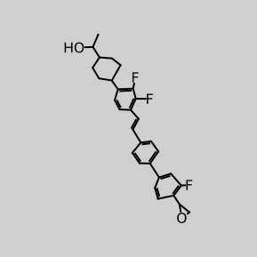 CC(O)C1CCC(c2ccc(/C=C/c3ccc(-c4ccc(C5CO5)c(F)c4)cc3)c(F)c2F)CC1